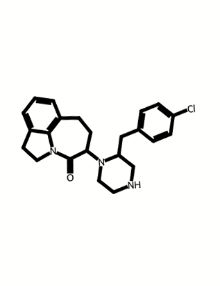 O=C1C(N2CCNCC2Cc2ccc(Cl)cc2)CCc2cccc3c2N1CC3